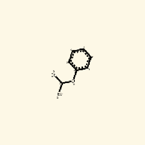 C[CH]C(CC)Oc1ccccc1